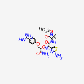 CC1(C)[C@H](NC(=O)/C(=N\OC(COc2ccc(C(=N)N)cc2)C(N)=O)c2csc(N)n2)C(=O)N1OS(=O)(=O)O